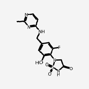 Cc1nccc(NCc2cc(O)c(N3CC(=O)NS3(=O)=O)c(F)c2)n1